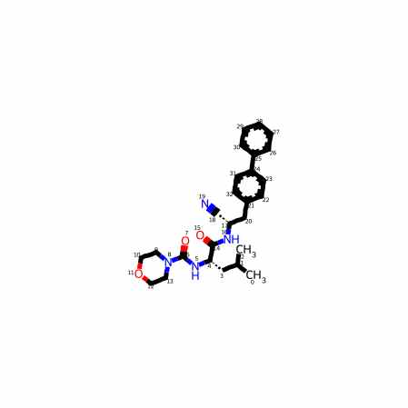 CC(C)C[C@H](NC(=O)N1CCOCC1)C(=O)N[C@H](C#N)Cc1ccc(-c2ccccc2)cc1